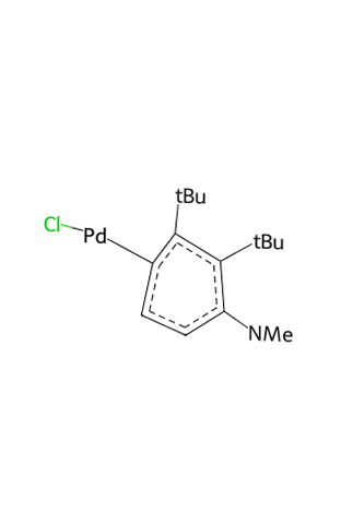 CNc1cc[c]([Pd][Cl])c(C(C)(C)C)c1C(C)(C)C